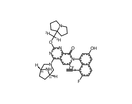 [2H]C([2H])(Oc1nc(N2C[C@H]3CC[C@@H](C2)N3)c2cc(C(F)(F)F)n(-c3cc(O)cc4ccc(F)c(C#C)c34)c(=O)c2n1)C12CCCN1CCC2